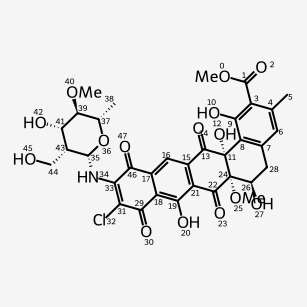 COC(=O)c1c(C)cc2c(c1O)[C@]1(O)C(=O)c3cc4c(c(O)c3C(=O)[C@]1(OC)[C@H](O)C2)C(=O)C(Cl)=C(N[C@H]1O[C@@H](C)[C@H](OC)[C@@H](O)[C@H]1CO)C4=O